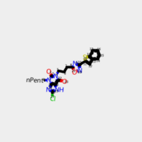 CCCCCn1c(=O)n(CCCc2nc(-c3cc4ccccc4s3)no2)c(=O)c2[nH]c(Cl)nc21